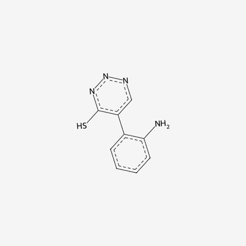 Nc1ccccc1-c1cnnnc1S